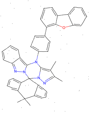 Cc1nn2c(c1C)N(c1ccc(-c3cccc4c3oc3ccccc34)cc1)c1c3ccccc3nn1C21c2ccccc2C(C)(C)c2ccccc21